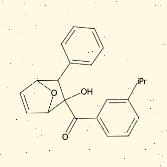 CC(C)c1cccc(C(=O)C2(O)C3C=CC(O3)C2c2ccccc2)c1